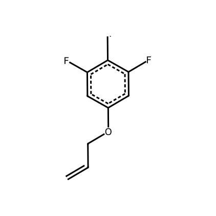 [CH2]c1c(F)cc(OCC=C)cc1F